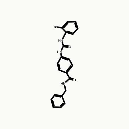 O=C(Nc1ccc(C(=O)NCc2ccccc2)cc1)Nc1ccccc1Br